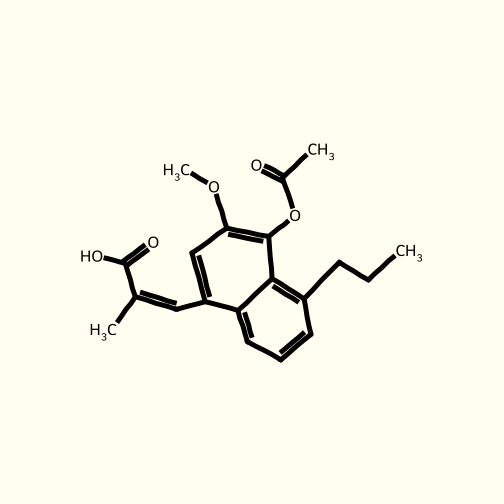 CCCc1cccc2c(C=C(C)C(=O)O)cc(OC)c(OC(C)=O)c12